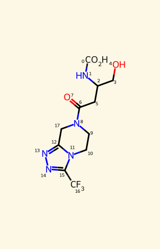 O=C(O)NC(CO)CC(=O)N1CCn2c(nnc2C(F)(F)F)C1